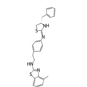 Cc1cccc2sc(NCCc3ccc(/N=C4/N[C@@H](Cc5ccccc5)CS4)cc3)nc12